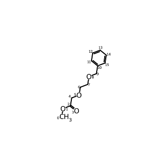 COC(=O)COCCOCc1ccccc1